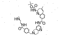 CNCCNC(=O)c1ccc(CN2CCc3ncc(NC(=O)c4ccc5c(c4)N=C(NC(=O)OC(C)(C)C)CC(C)=C5)cc3C2)cc1